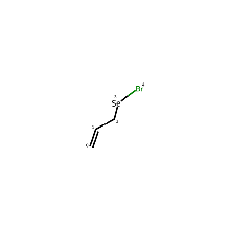 C=CC[Se]Br